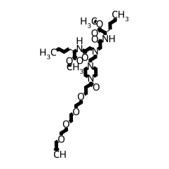 C#CCOCCOCCOCCOCCC(=O)N1CCN(CCN(CC(=O)N[C@@H](CCCC)C(=O)OC)CC(=O)N[C@@H](CCCC)C(=O)OC)CC1